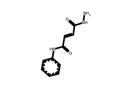 NNC(=O)C=CC(=O)Nc1ccccc1